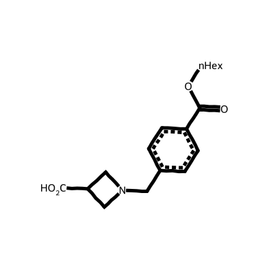 CCCCCCOC(=O)c1ccc(CN2CC(C(=O)O)C2)cc1